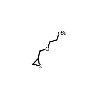 CCCCCCOCC1CS1